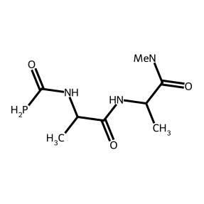 CNC(=O)C(C)NC(=O)C(C)NC(=O)P